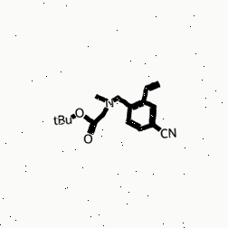 C=Cc1cc(C#N)ccc1CN(C)CC(=O)OC(C)(C)C